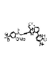 COc1cc(S(C)(=O)=O)ccc1NCC#Cc1nc2c(-c3ccc(N(C)C)c(=O)[nH]3)cccn2c1CC(F)(F)F